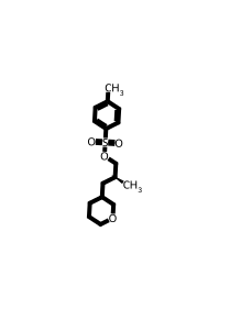 Cc1ccc(S(=O)(=O)OC[C@@H](C)CC2CCCOC2)cc1